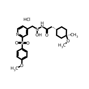 COc1ccc(S(=O)(=O)c2cc(CN(O)NC(=O)C[C@H]3CC[C@](C)(OC)CC3)ccn2)cc1.Cl